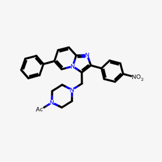 CC(=O)N1CCN(Cc2c(-c3ccc([N+](=O)[O-])cc3)nc3ccc(-c4ccccc4)cn23)CC1